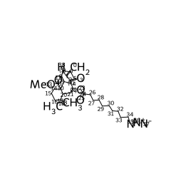 C=C1C(=O)[C@]23CC[C@H]1CC2C1(C(=O)OC)CCCC(C)(C)C1C[C@H]3OC(=O)CCCCCCCCCN=[N+]=[N-]